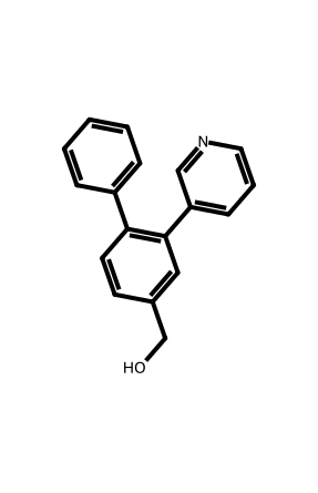 OCc1ccc(-c2ccccc2)c(-c2cccnc2)c1